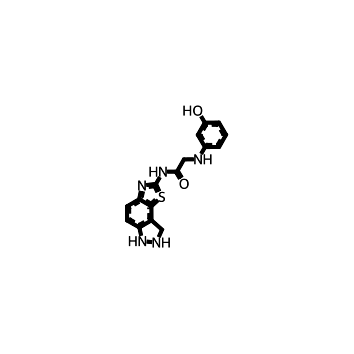 O=C(CNc1cccc(O)c1)Nc1nc2ccc3c(c2s1)CNN3